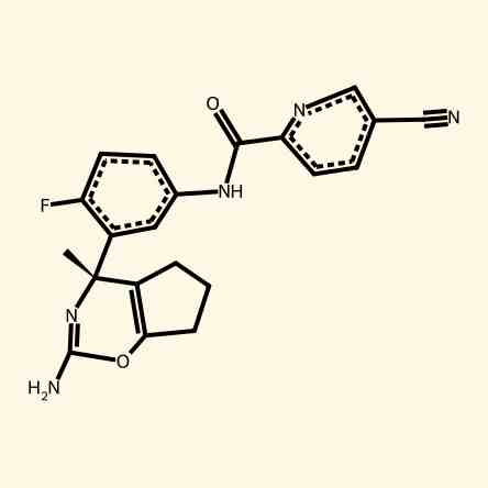 C[C@]1(c2cc(NC(=O)c3ccc(C#N)cn3)ccc2F)N=C(N)OC2=C1CCC2